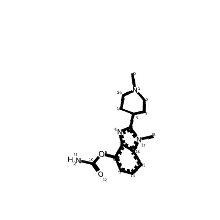 CN1CCC(c2nc3c(OC(N)=O)cccc3n2C)CC1